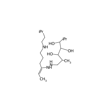 C/C=C(/CCCNCCC(C)C)NNCC(C)C(O)C(O)C(O)C(C)C